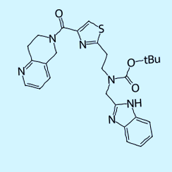 CC(C)(C)OC(=O)N(CCc1nc(C(=O)N2CCc3ncccc3C2)cs1)Cc1nc2ccccc2[nH]1